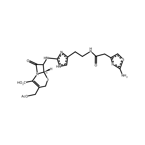 CC(=O)OCC1=C(C(=O)O)N2C(=O)C(Nc3nc(CCNC(=O)Cc4csc(N)n4)c[nH]3)[C@@H]2SC1